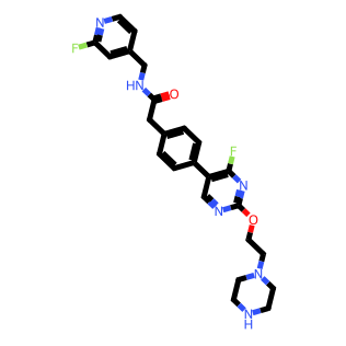 O=C(Cc1ccc(-c2cnc(OCCN3CCNCC3)nc2F)cc1)NCc1ccnc(F)c1